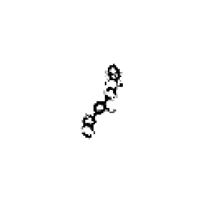 CN(c1cnc(-c2ccc(-c3cc4c(nn3)OCCO4)cc2O)nn1)[C@H]1C[C@]2(C)CC[C@@](C)(N2)[C@H]1F